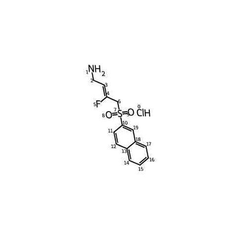 Cl.NC/C=C(\F)CS(=O)(=O)c1ccc2ccccc2c1